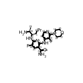 CC(C)C[C@@H](Nc1nc(Nc2ccnc(N3CCOCC3)c2F)c(C(N)=O)cc1F)[C@H](C)N